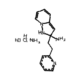 Cl.Cl.N.NC1(CCc2ccccn2)C=C2C=CC=CN2N1